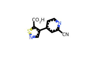 N#Cc1cc(-c2cnsc2C(=O)O)ccn1